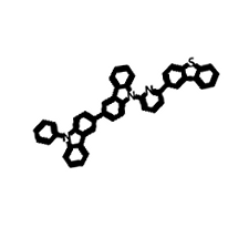 c1ccc(-n2c3ccccc3c3cc(-c4ccc5c(c4)c4ccccc4n5-c4cccc(-c5ccc6sc7ccccc7c6c5)n4)ccc32)cc1